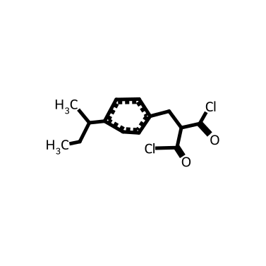 CCC(C)c1ccc(CC(C(=O)Cl)C(=O)Cl)cc1